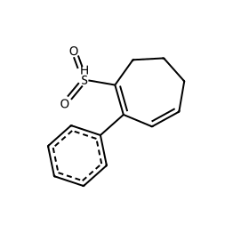 O=[SH](=O)C1=C(c2ccccc2)C=CCCC1